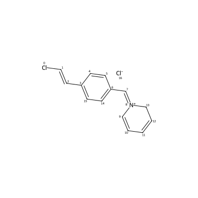 ClC=Cc1ccc(C=[N+]2C=CC=CC2)cc1.[Cl-]